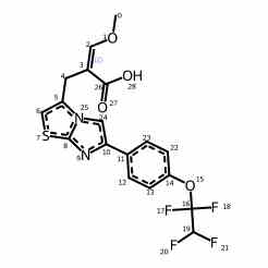 CO/C=C(/Cc1csc2nc(-c3ccc(OC(F)(F)C(F)F)cc3)cn12)C(=O)O